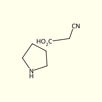 C1CCNC1.N#CCC(=O)O